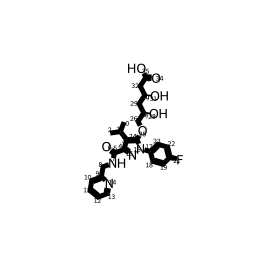 CC(C)c1c(C(=O)NCc2ccccn2)nn(-c2ccc(F)cc2)c1OC[C@@H](O)C[C@@H](O)CC(=O)O